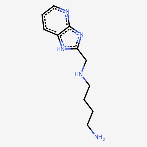 NCCCCNCc1nc2ncccc2[nH]1